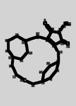 CC(C)(C)N1C(=O)C2=C(SC3CCC(CCCCC4CCCC(CC4)S2)CC3)C1=O